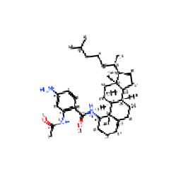 CC(=O)Nc1cc(N)ccc1C(=O)NC1CCCC2CC[C@@H]3[C@H](CC[C@]4(C)[C@@H]([C@H](C)CCCC(C)C)CC[C@@H]34)[C@]21C